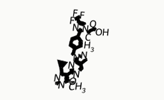 COc1ncnc(C2CC2)c1-c1ncc2cnn(Cc3ccc(-c4nc(C(F)(F)F)cn4C(C)C(=O)O)cc3)c2n1